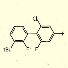 CC(C)(C)c1cccc(-c2c(F)cc(F)cc2Cl)c1F